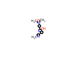 Cc1ccc(-c2cccc3c(O)c(-c4ccc(N5C[C@@H](C)O[C@@H](C)C5)cc4)cnc23)cn1